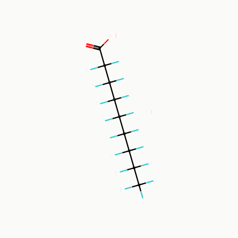 O=C(O)C(F)(F)C(F)(F)C(F)(F)C(F)(F)C(F)(F)C(F)(F)C(F)(F)C(F)(F)F.[Cr]